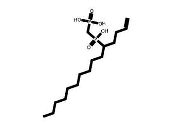 C=CCCC(CCCCCCCCCC)P(=O)(O)CP(=O)(O)O